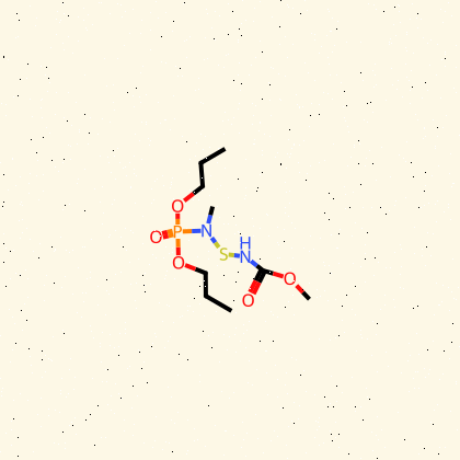 CCCOP(=O)(OCCC)N(C)SNC(=O)OC